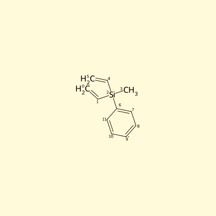 C=C[Si](C)(C=C)c1cc[c]cc1